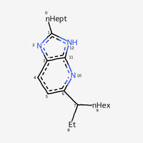 CCCCCCCc1nc2ccc(C(CC)CCCCCC)nc2[nH]1